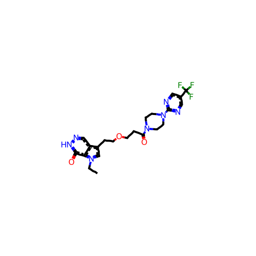 CCn1cc(CCOCCC(=O)N2CCN(c3ncc(C(F)(F)F)cn3)CC2)c2cn[nH]c(=O)c21